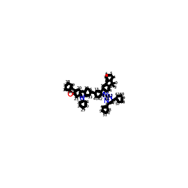 CC1(C)c2ccccc2-c2cc3c4cc(-c5ccc6c7cc8c(cc7n(-c7ccccc7)c6c5)oc5ccccc58)ccc4n(-c4nc(-c5ccccc5)cc(-c5ccccc5)n4)c3cc21